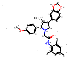 CCCOc1ccc([C@@H]2[C@@H](C(=O)O)C(c3ccc4c(c3)OCO4)CN2CC(=O)Nc2c(C)cc(C)cc2C)cc1